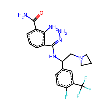 N/N=C(/NC(CN1CCC1)c1ccc(F)c(C(F)(F)F)c1)c1cccc(C(N)=O)c1N